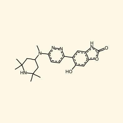 CN(c1ccc(-c2cc3[nH]c(=O)oc3cc2O)nn1)C1CC(C)(C)NC(C)(C)C1